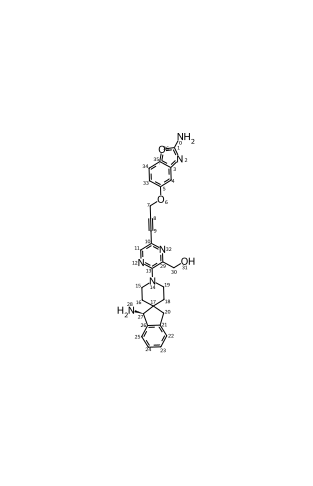 Nc1nc2cc(OCC#Cc3cnc(N4CCC5(CC4)Cc4ccccc4[C@H]5N)c(CO)n3)ccc2o1